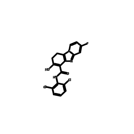 O=C(Nc1c(Cl)cccc1Cl)C1=C(O)CCc2c1nc1cc(F)ccn21